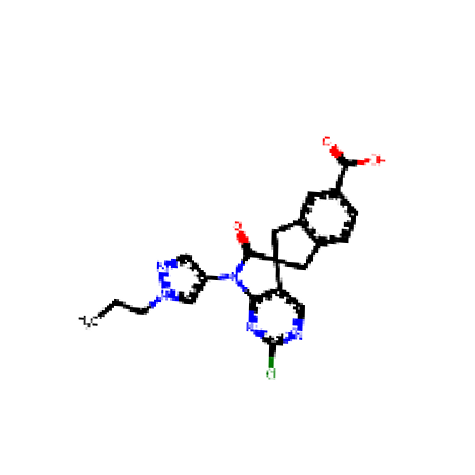 CCCn1cc(N2C(=O)C3(Cc4ccc(C(=O)O)cc4C3)c3cnc(Cl)nc32)cn1